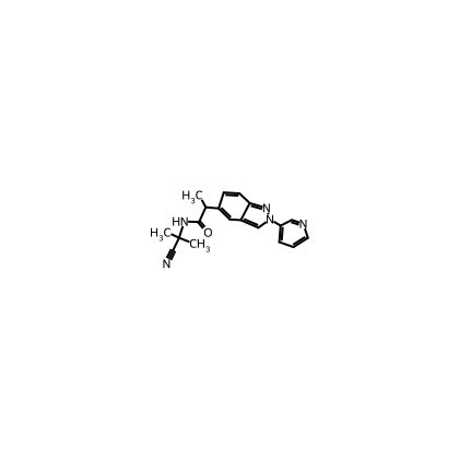 CC(C(=O)NC(C)(C)C#N)c1ccc2nn(-c3cccnc3)cc2c1